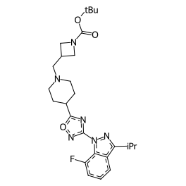 CC(C)c1nn(-c2noc(C3CCN(CC4CN(C(=O)OC(C)(C)C)C4)CC3)n2)c2c(F)cccc12